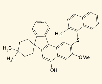 COc1cc2c(O)cc3c(c2cc1Sc1c(C)ccc2ccccc12)-c1ccccc1C31CCC(C)(C)CC1